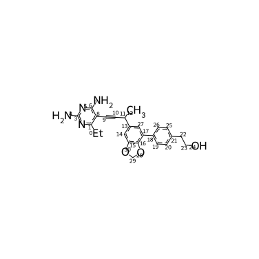 CCc1nc(N)nc(N)c1C#CC(C)c1cc2c(c(-c3ccc(CCO)cc3)c1)OCO2